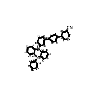 N#Cc1cncc(-c2ccc(-c3cccc(N4c5ccccc5N(c5ccccc5)c5ccccc54)c3)cc2)c1